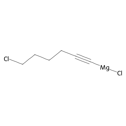 ClCCCCC#[C][Mg][Cl]